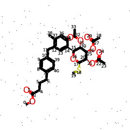 COC(=O)CCCc1ccc(Cc2cc([C@@H]3O[C@H](SC)[C@@H](OC(C)=O)[C@H](OC(C)=O)[C@H]3OC(C)=O)ccc2C)cc1